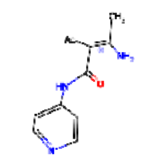 CC(=O)/C(C(=O)Nc1ccncc1)=C(\C)N